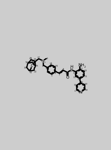 CN(Cc1ccc(/C=C/C(=O)Nc2cc(-c3ccncc3)ccc2N)cc1)CC12CC3CC(CC1C3)C2